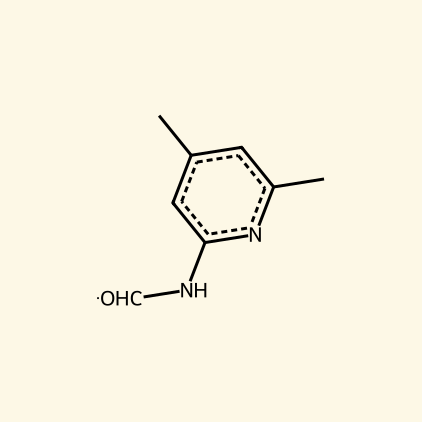 Cc1cc(C)nc(N[C]=O)c1